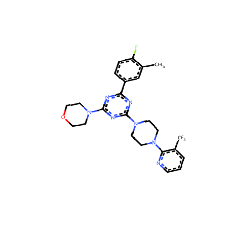 Cc1cc(-c2nc(N3CCOCC3)nc(N3CCN(c4ncccc4C(F)(F)F)CC3)n2)ccc1F